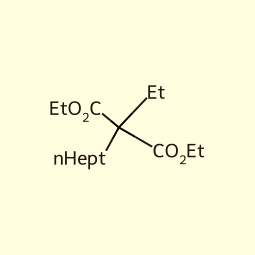 CCCCCCCC(CC)(C(=O)OCC)C(=O)OCC